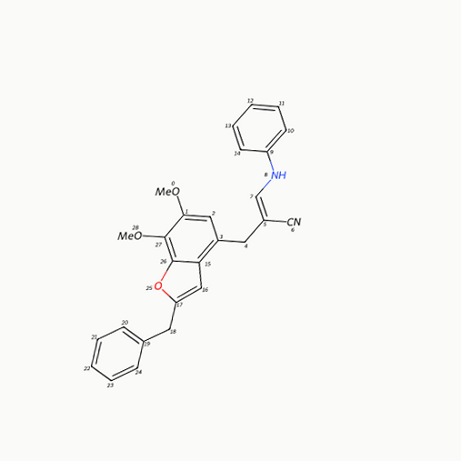 COc1cc(CC(C#N)=CNc2ccccc2)c2cc(Cc3ccccc3)oc2c1OC